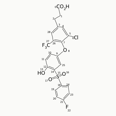 O=C(O)CCc1cc(Cl)c(Oc2ccc(O)c(S(=O)(=O)c3ccc(F)cc3)c2)c(C(F)(F)F)c1